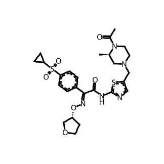 CC(=O)N1CCN(Cc2cnc(NC(=O)/C(=N/O[C@@H]3CCOC3)c3ccc(S(=O)(=O)C4CC4)cc3)s2)C[C@H]1C